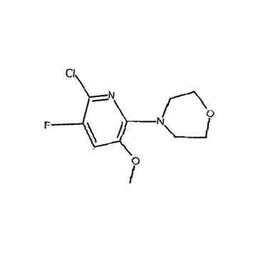 COc1[c]c(F)c(Cl)nc1N1CCOCC1